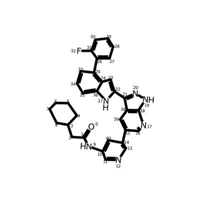 O=C(CC1CCCCC1)Nc1cncc(-c2cnc3[nH]nc(-c4cc5c(-c6ccccc6F)cccc5[nH]4)c3c2)c1